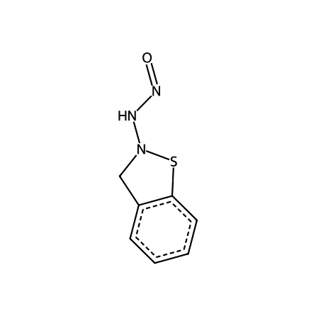 O=NNN1Cc2ccccc2S1